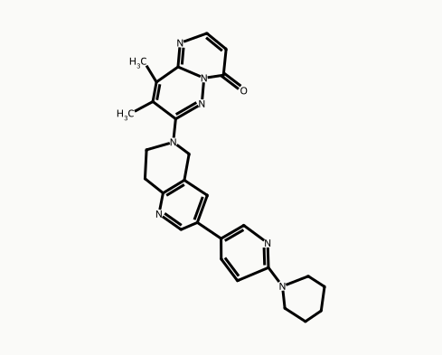 Cc1c(N2CCc3ncc(-c4ccc(N5CCCCC5)nc4)cc3C2)nn2c(=O)ccnc2c1C